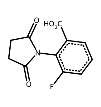 O=C(O)c1cccc(F)c1N1C(=O)CCC1=O